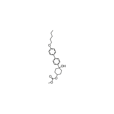 CCCCCOc1ccc(-c2ccc(C3(O)CCC(OC(=O)OC)CC3)cc2)cc1